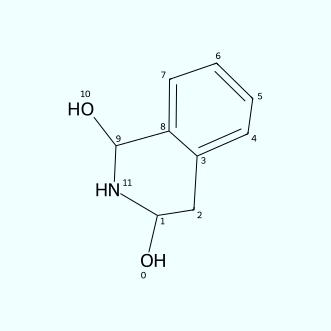 OC1Cc2ccccc2C(O)N1